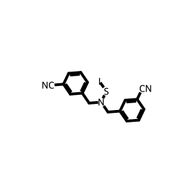 N#Cc1cccc(CN(Cc2cccc(C#N)c2)SI)c1